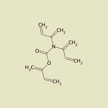 C=CC(=C)OC(=O)N(C(=C)C=C)C(=C)C=C